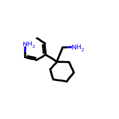 C/C=C(\C=C/N)C1(CN)CCCCC1